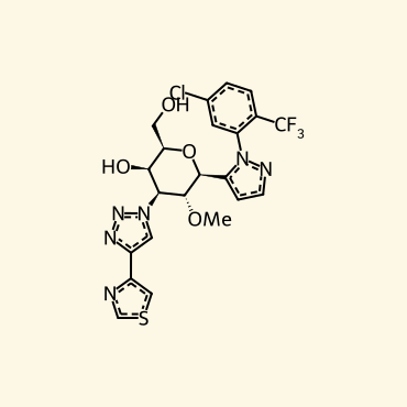 CO[C@@H]1[C@@H](n2cc(-c3cscn3)nn2)[C@@H](O)[C@@H](CO)O[C@H]1c1ccnn1-c1cc(Cl)ccc1C(F)(F)F